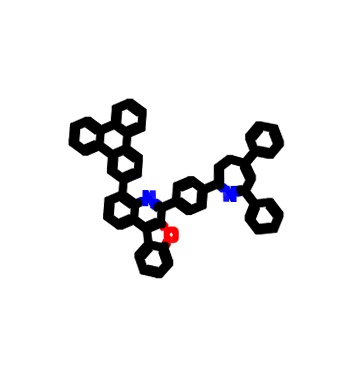 C1=C(c2ccccc2)CC=C(c2ccc(-c3nc4c(-c5ccc6c7ccccc7c7ccccc7c6c5)cccc4c4c3oc3ccccc34)cc2)N=C1c1ccccc1